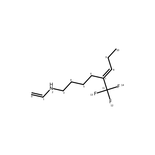 C=CNCCCC/C(=C\CC)C(F)(F)F